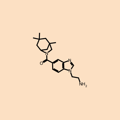 CC1(C)CC2CC(C)(CN2C(=O)c2ccc3c(c2)ncn3CCN)C1